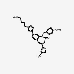 COCCCCn1cc(-c2ccc3c(c2)N(Cc2ccc(OC)cc2)C(=O)CC(c2ncc(C)o2)=C3)cn1